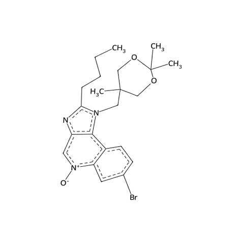 CCCCc1nc2c[n+]([O-])c3cc(Br)ccc3c2n1CC1(C)COC(C)(C)OC1